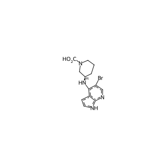 O=C(O)N1CCC[C@@H](Nc2c(Br)cnc3[nH]ccc23)C1